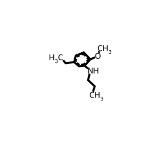 CCCNc1cc(CC)ccc1OC